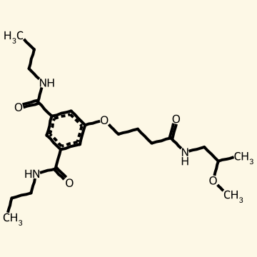 CCCNC(=O)c1cc(OCCCC(=O)NCC(C)OC)cc(C(=O)NCCC)c1